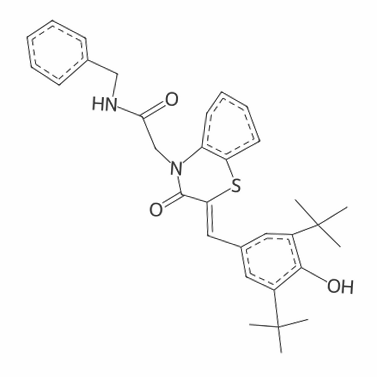 CC(C)(C)c1cc(C=C2Sc3ccccc3N(CC(=O)NCc3ccccc3)C2=O)cc(C(C)(C)C)c1O